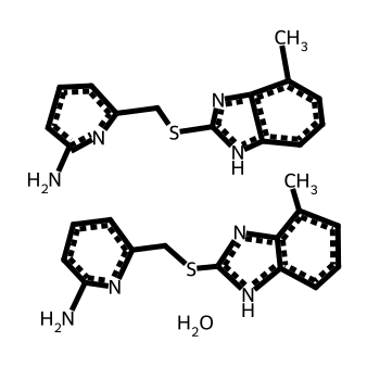 Cc1cccc2[nH]c(SCc3cccc(N)n3)nc12.Cc1cccc2[nH]c(SCc3cccc(N)n3)nc12.O